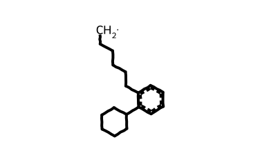 [CH2]CCCCCc1ccccc1C1CCCCC1